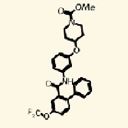 COC(=O)N1CCC(Oc2cccc(NC(=O)c3cc(OC(F)(F)F)ccc3-c3ccccc3)c2)CC1